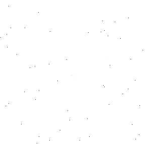 c1ccc(-c2ccc(Nc3ccc(-c4ccccc4-c4cccc(-c5ccccc5)c4)cc3)cc2)cc1